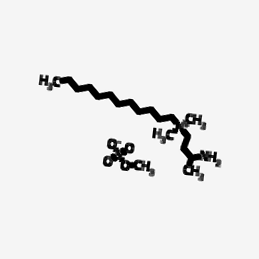 CCCCCCCCCCCC[N+](C)(C)CCC(C)N.COS(=O)(=O)[O-]